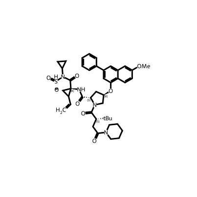 C=CC1C[C@]1(NC(=O)[C@@H]1C[C@@H](Oc2cc(-c3ccccc3)cc3cc(OC)ccc23)CN1C(=O)[C@@H](CC(=O)N1CCCCC1)C(C)(C)C)C(=O)N(C1CC1)[SH](=O)=O